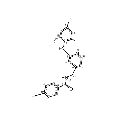 Cc1cc(I)ccc1Nc1cc(CNC(=O)c2ccc(F)cc2)ccn1